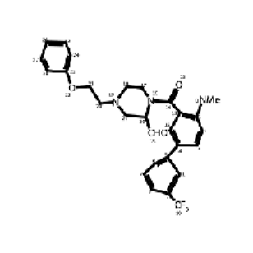 CNc1ccc(-c2cccc(C(F)(F)F)c2)cc1C(=O)N1CCN(CCOc2ccccc2)CC1C=O